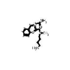 CN(CCCCN)CC(=O)N(CC(N)=O)Cc1ccccc1